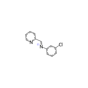 Clc1cccc(/N=C/c2ccccn2)c1